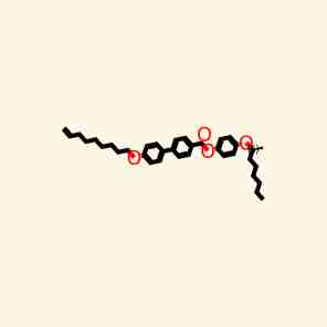 C=CCCCCCCCOc1ccc(-c2ccc(C(=O)Oc3ccc(O[C@@H](C)CCCCCC)cc3)cc2)cc1